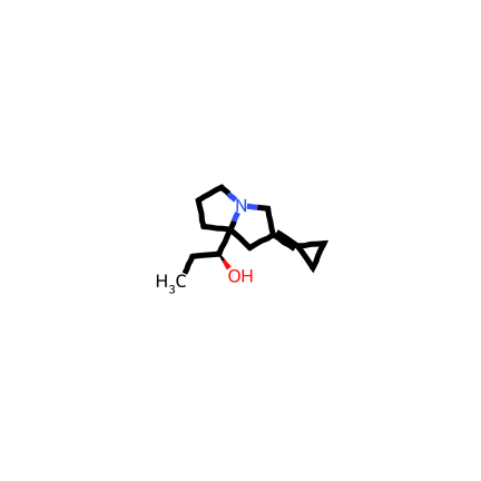 CC[C@H](O)C12CCCN1CC(=C1CC1)C2